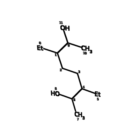 CCC(CCC(CC)C(C)O)C(C)O